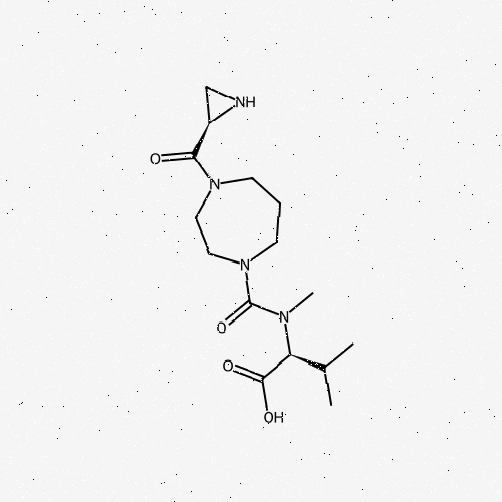 CC(C)[C@@H](C(=O)O)N(C)C(=O)N1CCCN(C(=O)[C@H]2CN2)CC1